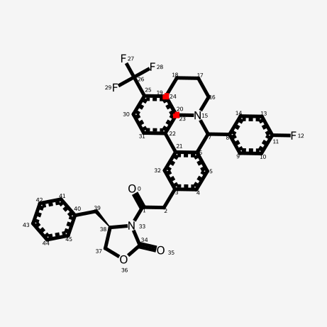 O=C(Cc1ccc(C(c2ccc(F)cc2)N2CCCCC2)c(-c2ccc(C(F)(F)F)cc2)c1)N1C(=O)OC[C@H]1Cc1ccccc1